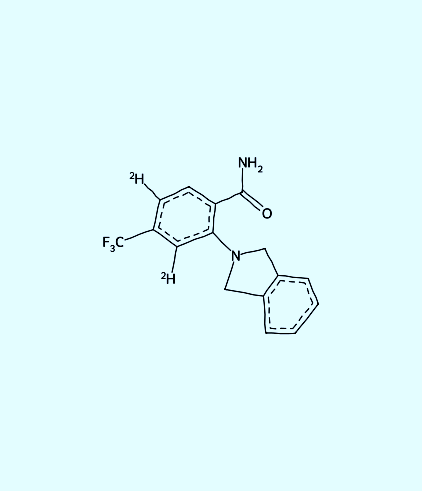 [2H]c1cc(C(N)=O)c(N2Cc3ccccc3C2)c([2H])c1C(F)(F)F